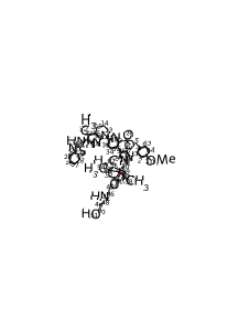 COc1ccc(COC(=O)c2nc(N3CCCc4c3nnc(Nc3nc5ccccc5s3)c4C)ccc2-c2cnn(CC34CC5(OCCNCCCO)C[C@](C)(C3)C[C@](C)(C4)C5)c2C)cc1